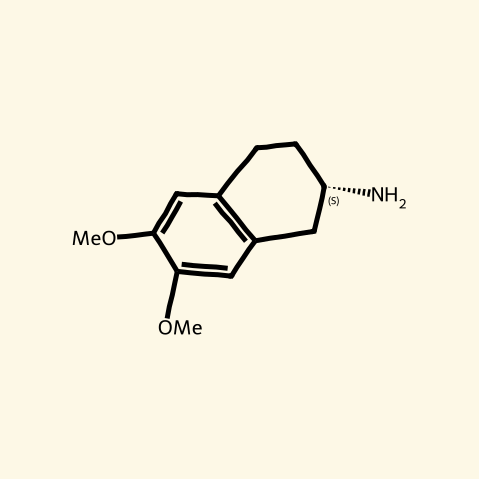 COc1cc2c(cc1OC)C[C@@H](N)CC2